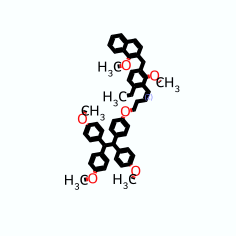 CCc1ccc(Cc2ccc3ccccc3c2OC)c(OC)c1/C=C\CCOc1ccc(C(c2ccc(OC)cc2)C(c2ccc(OC)cc2)c2ccc(OC)cc2)cc1